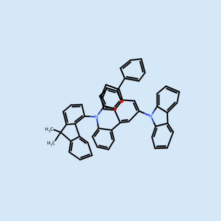 CC1(C)c2ccccc2-c2c(N(c3ccc(-c4ccccc4)cc3)c3ccccc3-c3cc(-n4c5ccccc5c5ccccc54)cc4ccccc34)cccc21